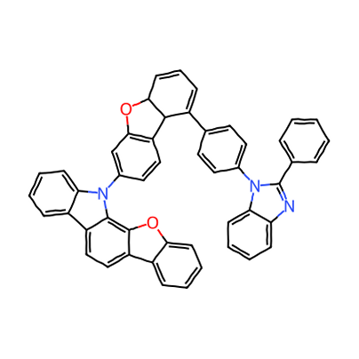 C1=CC2Oc3cc(-n4c5ccccc5c5ccc6c7ccccc7oc6c54)ccc3C2C(c2ccc(-n3c(-c4ccccc4)nc4ccccc43)cc2)=C1